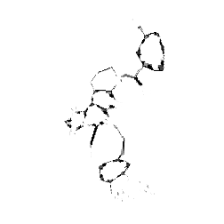 COc1ccc(Cn2c(=O)n3ncnc3c3c4c(sc32)N(C(=O)c2cccc(Cl)c2)CCC4)cc1OC